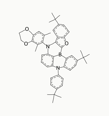 Cc1cc2c(c(C)c1N1c3cccc4c3B(c3cc(C(C)(C)C)ccc3N4c3ccc(C(C)(C)C)cc3)c3oc4ccc(C(C)(C)C)cc4c31)OCCO2